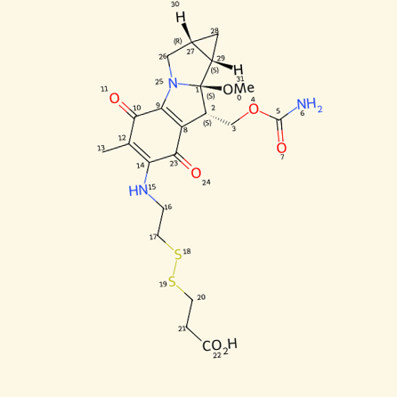 CO[C@@]12[C@H](COC(N)=O)C3=C(C(=O)C(C)=C(NCCSSCCC(=O)O)C3=O)N1C[C@@H]1C[C@@H]12